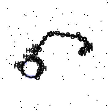 CO[C@H]1C[C@@H]2CCC[C@@](O)(O2)C(=O)C(=O)N2CCCC[C@H]2C(=O)O[C@H]([C@H](N)C[C@@H]2CC[C@@H](OC(=O)NCCOCCOCCN3CCN(CCOCCOCCOCCOCCC(=O)N4CCc5cc(Cn6nc(-c7ccc8oc(C)nc8c7)c7c(N)ncnc76)ccc5C4)CC3)[C@H](O)C2)C[C@@H](O)[C@H](C)/C=C(\C)[C@@H](O)[C@@H](O)C(=O)[C@H](C)C[C@H](C)/C=C/C=C/C=C/1C